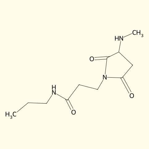 CCCNC(=O)CCN1C(=O)CC(NC)C1=O